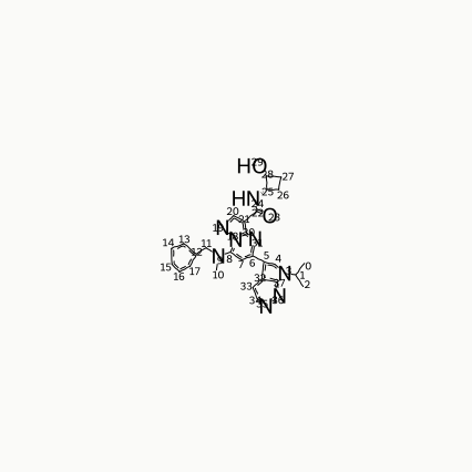 CC(C)n1cc(-c2cc(N(C)Cc3ccccc3)n3ncc(C(=O)N[C@H]4CC[C@H]4O)c3n2)c2ccnnc21